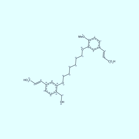 COc1ccc(/C=C/C(=O)O)cc1OCCCCCCOc1cc(/C=C/C(=O)O)ccc1CO